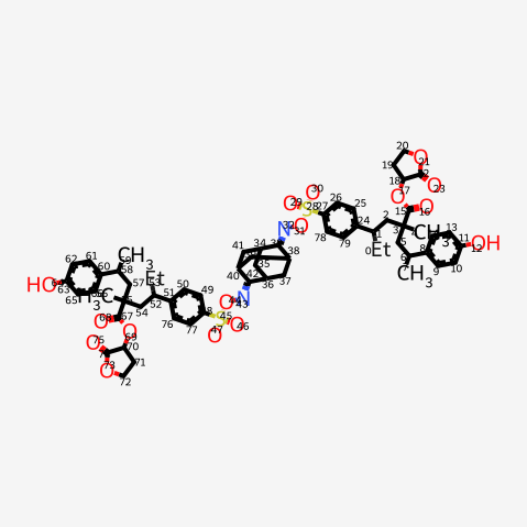 CCC(CC(C)(CC(C)c1ccc(O)cc1)C(=O)OC1CCOC1=O)c1ccc(S(=O)(=O)ON=C2C3CC4CC2CC(C3)C4=NOS(=O)(=O)c2ccc(C(CC)CC(C)(CC(C)c3ccc(O)cc3)C(=O)OC3CCOC3=O)cc2)cc1